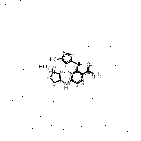 Cc1cc(Nc2nc(N[C@H]3CCN(C(=O)O)C3)cnc2C(N)=O)sn1